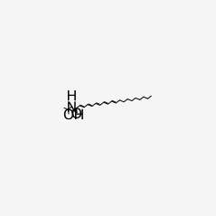 CCCCCCCCCC=CC=CC=CC=CC=CC(=O)NC(C)O